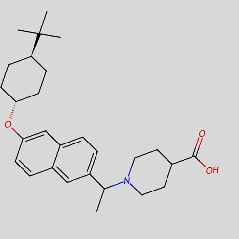 CC(c1ccc2cc(O[C@H]3CC[C@H](C(C)(C)C)CC3)ccc2c1)N1CCC(C(=O)O)CC1